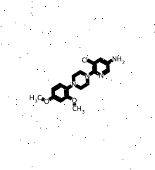 COc1ccc(N2CCN(c3ncc(N)cc3Cl)CC2)c(OC)c1